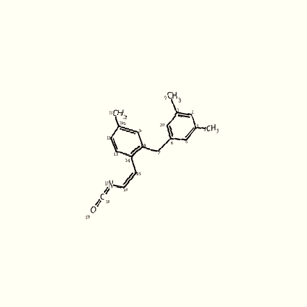 Cc1cc(C)cc(Cc2cc(C)ccc2/C=C\N=C=O)c1